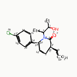 CCC(O)C(CC)N1C(=O)[C@@H](CC(=O)O)CC[C@H]1c1ccc(Cl)cc1